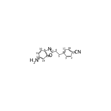 N#Cc1ccc(CCc2nc3ccc(N)cc3o2)cc1